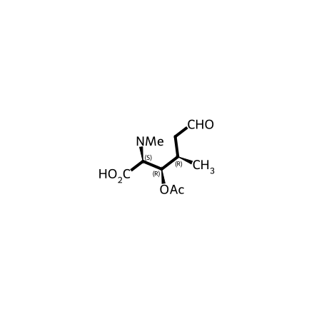 CN[C@H](C(=O)O)[C@H](OC(C)=O)[C@H](C)CC=O